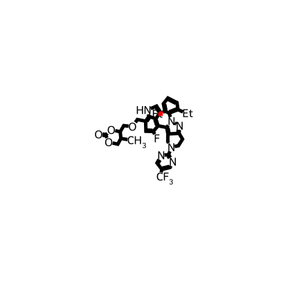 CCc1cccc(CC)c1-n1nc2c(c1-c1c(F)cc(COCC3OC(=O)OCC3C)c3[nH]ccc13)CN(c1ncc(C(F)(F)F)cn1)CC2